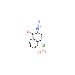 [N-]=[N+]=C1C=Cc2c(cccc2S(=O)(=O)Cl)C1=O